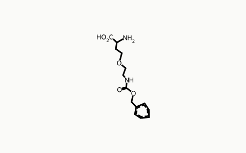 NC(CCOCCNC(=O)OCc1ccccc1)C(=O)O